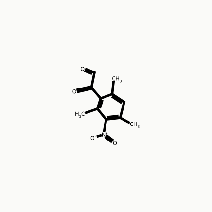 Cc1cc(C)c([N+](=O)[O-])c(C)c1C(=O)C=O